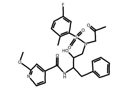 COc1cc(C(=O)NC(Cc2ccccc2)C(O)CN(CC(C)=O)S(=O)(=O)c2cc(F)ccc2C)ccn1